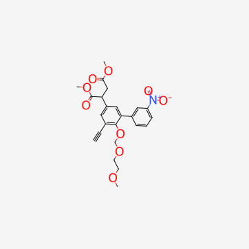 C#Cc1cc(C(CC(=O)OC)C(=O)OC)cc(-c2cccc([N+](=O)[O-])c2)c1OCOCCOC